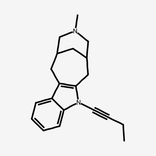 CCC#Cn1c2c(c3ccccc31)CC1CC(C2)CN(C)C1